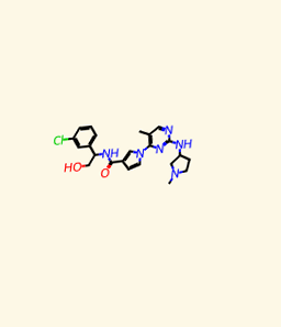 Cc1cnc(NC2CCN(C)C2)nc1-n1ccc(C(=O)NC(CO)c2cccc(Cl)c2)c1